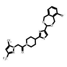 O=C(Cn1nc(C(F)(F)F)cc1C(F)(F)F)N1CCC(c2nc(C3OCc4cccc(Br)c4CO3)cs2)CC1